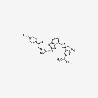 CC(C)c1cnn(C2(CC#N)CN(c3cccn4nc(Nc5cnn(CC(=O)N6CCN(C)CC6)c5)nc34)C2)c1